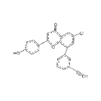 C#Cc1cccc(-c2cc(Cl)cc3c(=O)cc(-c4ccc(O)cc4)oc23)c1